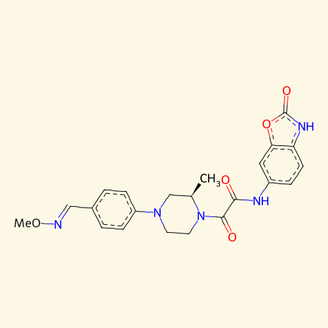 CO/N=C/c1ccc(N2CCN(C(=O)C(=O)Nc3ccc4[nH]c(=O)oc4c3)[C@H](C)C2)cc1